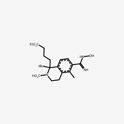 CCOC(=O)CCCC1(C(C)(C)C)c2ccc(C(=N)NO)c(C)c2CCN1C(=O)O